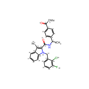 COC(=O)c1ccc(C(C)NC(=O)c2c(C#N)c3ccccc3n2Cc2cccc(F)c2Cl)cc1